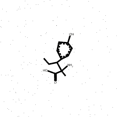 CCC(c1ccc(O)cc1)C(C)(N)C(=O)O